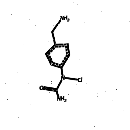 NCc1ccc(N(Cl)C(N)=O)cc1